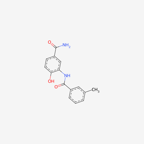 Cc1cccc(C(=O)Nc2cc(C(N)=O)ccc2O)c1